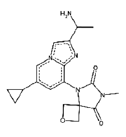 CC(N)c1cn2cc(C3CC3)cc(N3C(=O)N(C)C(=O)C34COC4)c2n1